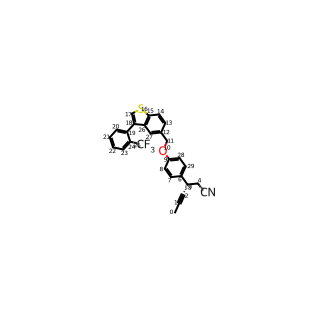 CC#C[C@@H](CC#N)c1ccc(OCc2ccc3scc(-c4ccccc4C(F)(F)F)c3c2)cc1